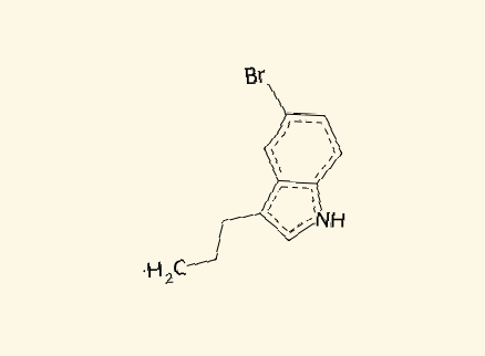 [CH2]CCc1c[nH]c2ccc(Br)cc12